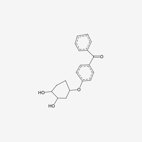 O=C(c1ccccc1)c1ccc(OC2CCC(O)C(O)C2)cc1